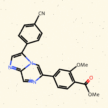 COC(=O)c1ccc(-c2cn3c(-c4ccc(C#N)cc4)cnc3cn2)cc1OC